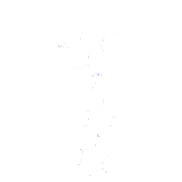 COc1ccc(Cl)cc1C(=O)NCCc1ccc(-c2cccnc2)cc1